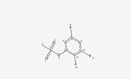 CS(=O)(=O)Oc1cc(F)cc(F)c1F